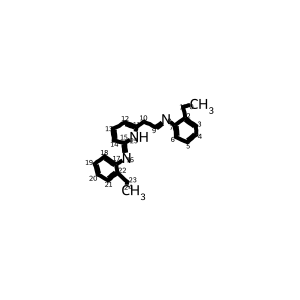 CCc1ccccc1N=CCc1cccc(=Nc2ccccc2CC)[nH]1